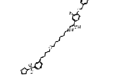 O=S(=O)(c1cccc(CCCCOCCCCCCNC[C@H](O)c2ccc(OCc3ccccc3)c(F)c2)c1)C1CCCC1